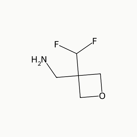 NCC1(C(F)F)COC1